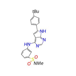 CNS(=O)(=O)c1cccc(Nc2ncnc3[nH]c(-c4ccc(C(C)(C)C)cc4)cc23)c1